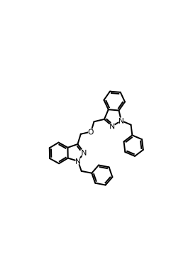 c1ccc(Cn2nc(COCc3nn(Cc4ccccc4)c4ccccc34)c3ccccc32)cc1